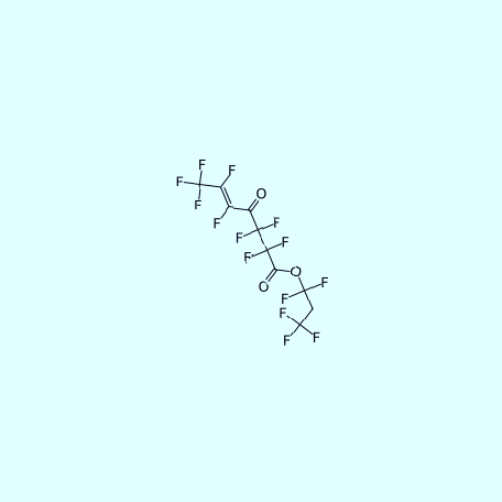 O=C(OC(F)(F)CC(F)(F)F)C(F)(F)C(F)(F)C(=O)C(F)=C(F)C(F)(F)F